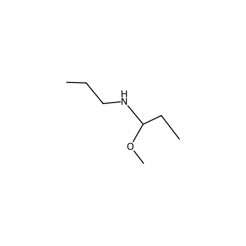 CCCNC(CC)OC